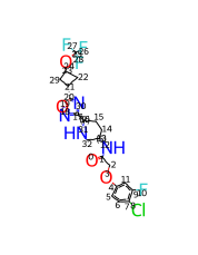 O=C(COc1ccc(Cl)c(F)c1)N[C@H]1CC[C@H](c2noc([C@H]3C[C@@H](OC(F)(F)F)C3)n2)NC1